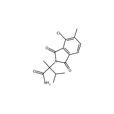 Cc1ccc2c(c1Cl)C(=O)N(C(C)(C(N)=O)C(C)C)C2=O